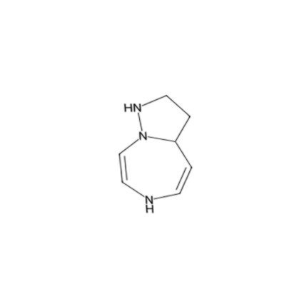 C1=CC2CCNN2C=CN1